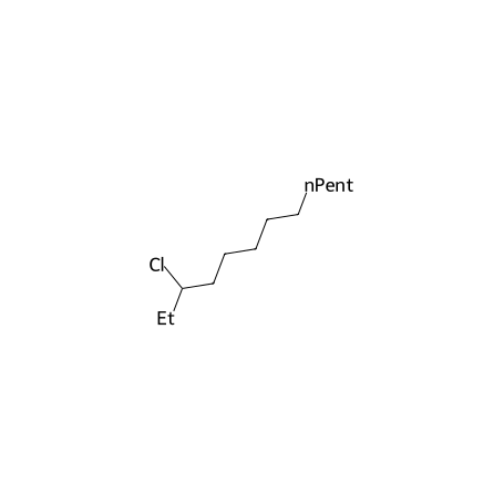 CCCCCCCCCCC(Cl)CC